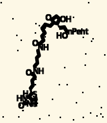 CCCCC[C@H](O)/C=C/[C@H]1C(O)CC(=O)C1C/C=C\CCCC(=O)NCCCCCNC(=O)CCCC[C@H]1SC[C@@H]2NC(=O)N[C@@H]21